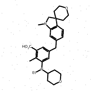 CCN(c1cc(Cc2ccc3c(c2)N(C)CC32CCOCC2)cc(C(=O)O)c1C)C1CCOCC1